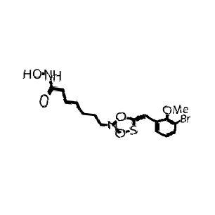 COc1c(Br)cccc1/C=C1/ON(CCCCCCC(=O)NO)OS1